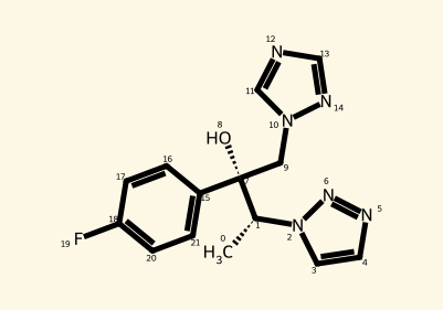 C[C@@H](n1ccnn1)[C@](O)(Cn1cncn1)c1ccc(F)cc1